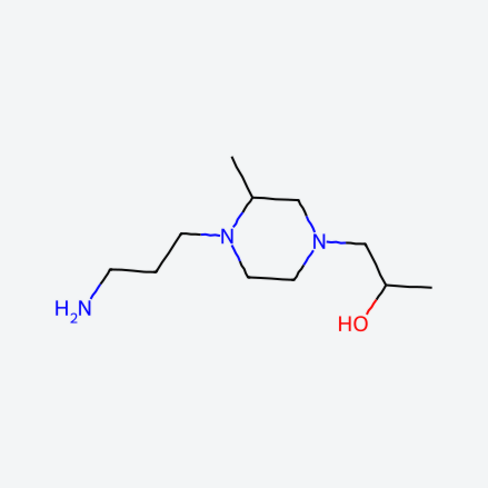 CC(O)CN1CCN(CCCN)C(C)C1